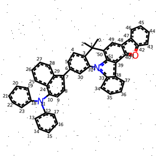 CC1(C)c2ccc(-c3ccc(N(c4ccccc4)c4ccccc4)c4ccccc34)cc2-n2c3ccccc3c3c4oc5ccccc5c4cc1c32